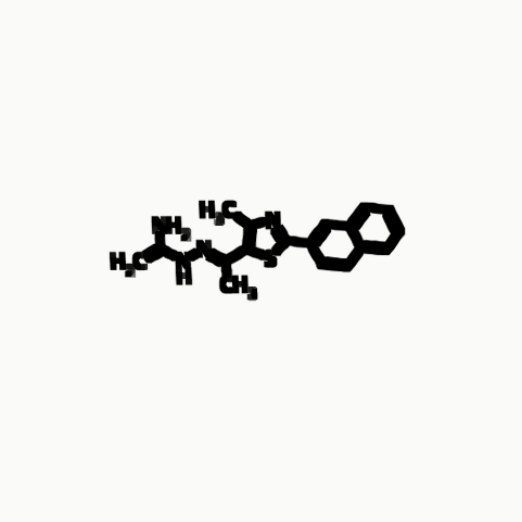 C=C(N)N/N=C(\C)c1sc(-c2ccc3ccccc3c2)nc1C